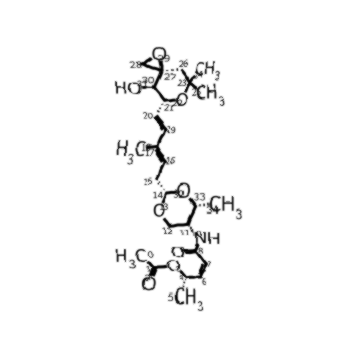 CC(=O)O[C@@H](C)/C=C\C(=O)N[C@@H]1CO[C@H](C/C=C(C)/C=C/[C@H]2OC(C)(C)C[C@@]3(CO3)[C@@H]2O)O[C@@H]1C